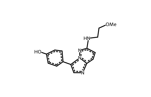 COCCNc1ccc2ncc(-c3ccc(O)cc3)n2n1